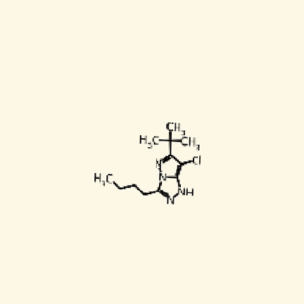 CCCCc1n[nH]c2c(Cl)c(C(C)(C)C)nn12